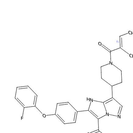 C/C=C(\C)C(=O)N1CCC(c2cnn3c(C(N)=O)c(-c4ccc(Oc5ccccc5F)cc4)[nH]c23)CC1